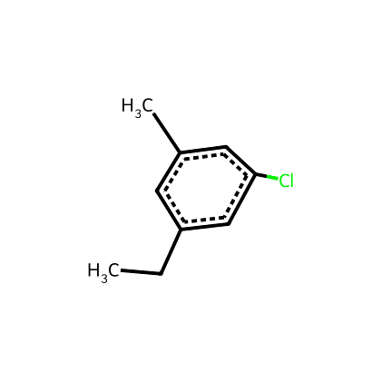 CCc1cc(C)cc(Cl)c1